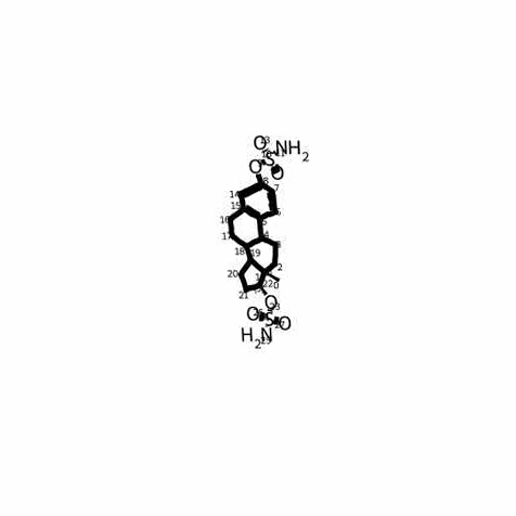 C[C@]12CCC3c4ccc(OS(N)(=O)=O)cc4CCC3C1CC[C@@H]2OS(N)(=O)=O